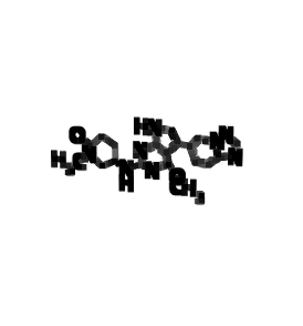 COc1nc(N[C@@H]2CCC(=O)N(C)C2)nc2[nH]cc(-c3ccc4ncnn4c3)c12